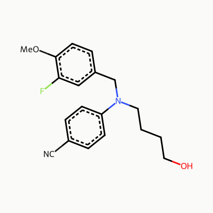 COc1ccc(CN(CCCCO)c2ccc(C#N)cc2)cc1F